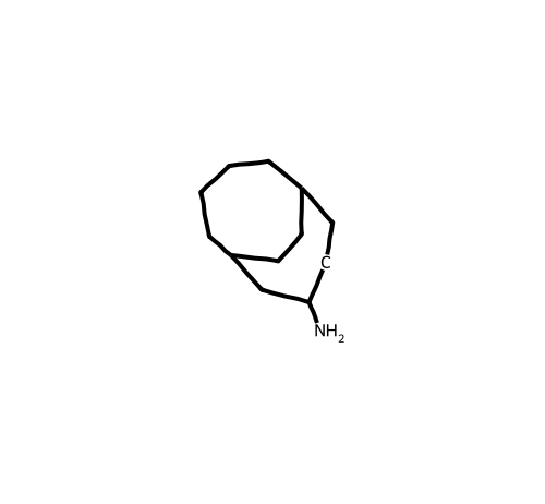 NC1CCC2CCCCC(CC2)C1